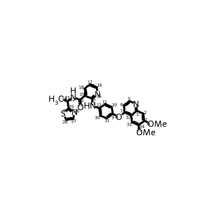 COc1cc2nccc(Oc3ccc(Nc4ncccc4C(=O)NC(C)c4nccs4)cc3)c2cc1OC